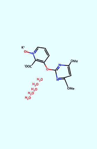 COc1cc(OC)nc(Oc2ccc[n+]([O-])c2C(=O)[O-])n1.O.O.O.O.O.[K+]